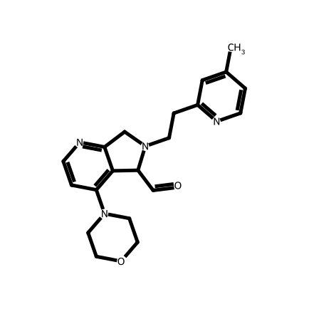 Cc1ccnc(CCN2Cc3nccc(N4CCOCC4)c3C2C=O)c1